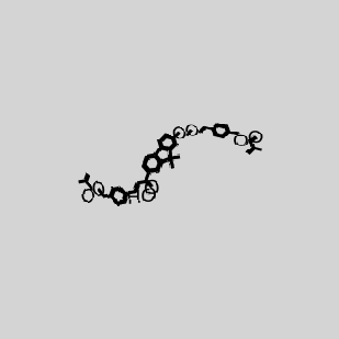 C=C(C)C(=O)OCc1ccc(C=COCOc2ccc3c(c2)C(C)(C)c2cc(C(C=Cc4ccc(COC(=O)C(=C)C)cc4)OO)ccc2-3)cc1